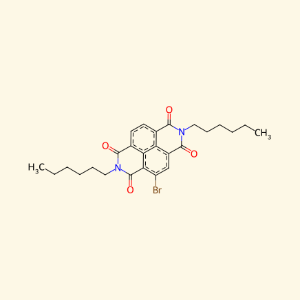 CCCCCCN1C(=O)c2ccc3c4c(c(Br)cc(c24)C1=O)C(=O)N(CCCCCC)C3=O